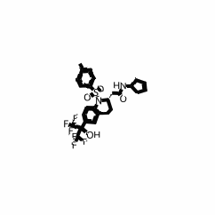 Cc1ccc(S(=O)(=O)N2c3ccc(C(O)(C(F)(F)F)C(F)(F)F)cc3CC[C@H]2CC(=O)NC2CC=CC2)cc1